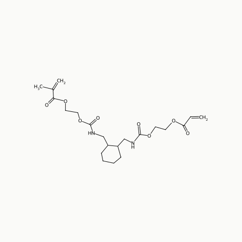 C=CC(=O)OCCOC(=O)NCC1CCCCC1CNC(=O)OCCOC(=O)C(=C)C